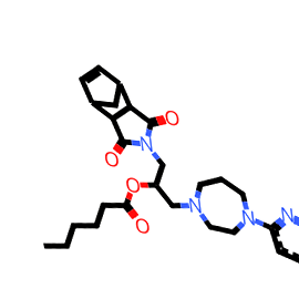 CCCCCC(=O)OC(CN1CCCN(c2ccccn2)CC1)CN1C(=O)C2C3C=CC(C3)C2C1=O